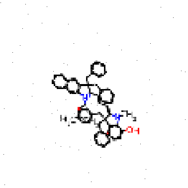 CC(C)CC[N+]1=C(/C=C/C=C2/N(C)c3c(O)cccc3C2(Cc2ccccc2)Cc2ccccc2)C(Cc2ccccc2)(Cc2ccccc2)c2cc3ccccc3cc21